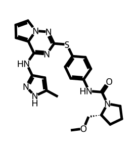 COC[C@H]1CCCN1C(=O)Nc1ccc(Sc2nc(Nc3cc(C)[nH]n3)c3cccn3n2)cc1